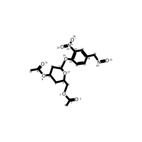 CC(=O)OCC1CC(OC(C)=O)CC(Oc2ccc(CN=O)cc2[N+](=O)[O-])O1